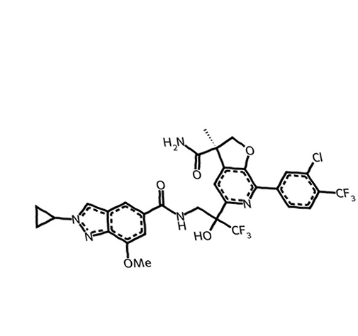 COc1cc(C(=O)NCC(O)(c2cc3c(c(-c4ccc(C(F)(F)F)c(Cl)c4)n2)OC[C@]3(C)C(N)=O)C(F)(F)F)cc2cn(C3CC3)nc12